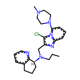 CCCN(Cc1nc2cccc(N3CCN(C)CC3)n2c1Cl)[C@H]1CCCc2cccnc21